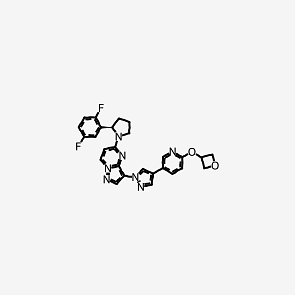 Fc1ccc(F)c([C@H]2CCCN2c2ccn3ncc(-n4cc(-c5ccc(OC6COC6)nc5)cn4)c3n2)c1